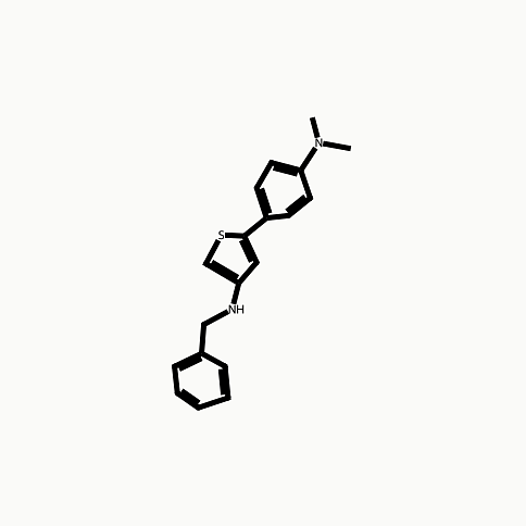 CN(C)c1ccc(-c2cc(NCc3ccccc3)cs2)cc1